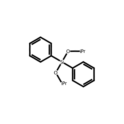 CC(C)O[Si](OC(C)C)(c1ccccc1)c1ccccc1